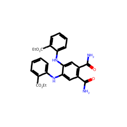 CCOC(=O)c1ccccc1Nc1cc(C(N)=O)c(C(N)=O)cc1Nc1ccccc1C(=O)OCC